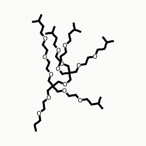 CCCOCCOCC(COCCOCCOCCC(C)C)(COCCOCCC(C)C)COCC(COCCOCCC(C)C)(COCCOCCC(C)C)COCCOCCC(C)C